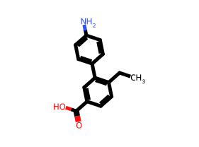 CCc1ccc(C(=O)O)cc1-c1ccc(N)cc1